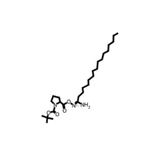 CCCCCCCCCCCCCCCC/C(N)=N\OC(=O)C1CCCN1C(=O)OC(C)(C)C